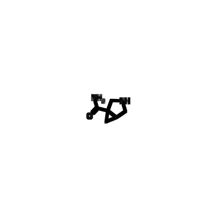 NC(=O)C12CNCC1C2